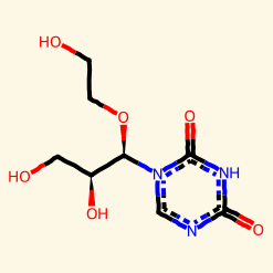 O=c1ncn([C@H](OCCO)[C@@H](O)CO)c(=O)[nH]1